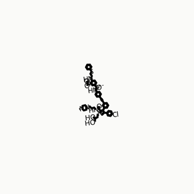 CN1CCN(CCCNC(=O)c2c(-c3cccc(C#Cc4ccc(N[S+]([O-])c5ccc(NCCSc6ccccc6)c([N+](=O)[O-])c5)cc4)c3)c(-c3ccc(Cl)cc3)cn2CCC(O)CO)CC1